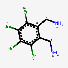 NCc1c(Br)c(Br)c(Br)c(Br)c1CN